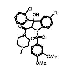 COc1ccc(S(=O)(=O)N2c3ccc(Cl)cc3C(O)(c3ccccc3Cl)C2C(=O)N2CCN(C)CC2)cc1OC